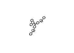 c1ccc(-c2ccc(-c3ccc(N(c4ccc(-c5ccc(-c6ccccc6)o5)cc4)c4cc5ccccc5c5ccccc45)cc3)o2)cc1